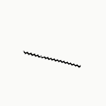 CCCCCCCCCCCCCCCCCCCCCCC[CH]SCCCCCCCCCC